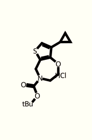 CC(C)(C)OC(=O)N1CCOc2c(C3CC3)csc2C1.Cl